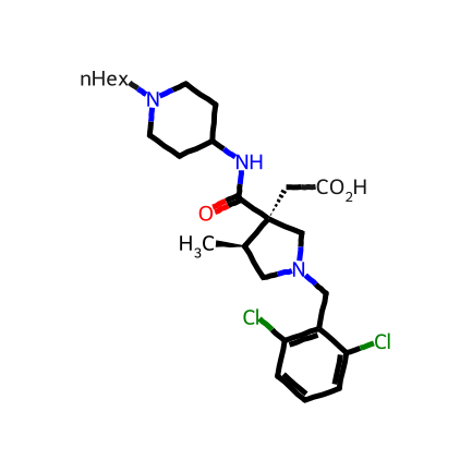 CCCCCCN1CCC(NC(=O)[C@@]2(CC(=O)O)CN(Cc3c(Cl)cccc3Cl)C[C@H]2C)CC1